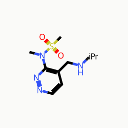 CC(C)NCc1ccnnc1N(C)S(C)(=O)=O